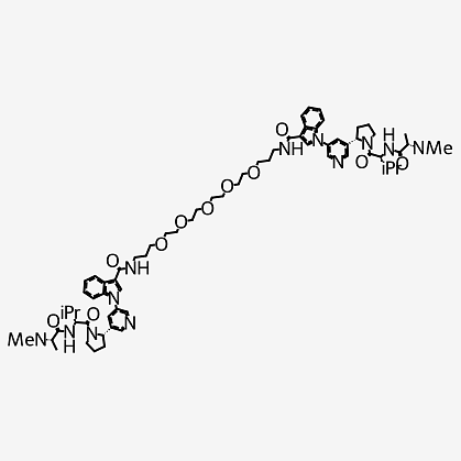 CN[C@@H](C)C(=O)N[C@H](C(=O)N1CCC[C@H]1c1cncc(-n2cc(C(=O)NCCCOCCOCCOCCOCCOCCCNC(=O)c3cn(-c4cncc([C@@H]5CCCN5C(=O)[C@@H](NC(=O)[C@H](C)NC)C(C)C)c4)c4ccccc34)c3ccccc32)c1)C(C)C